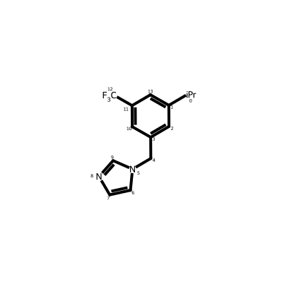 CC(C)c1cc(Cn2ccnc2)cc(C(F)(F)F)c1